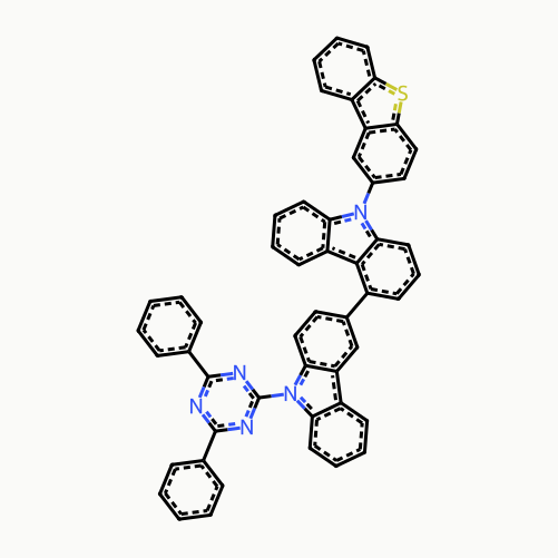 c1ccc(-c2nc(-c3ccccc3)nc(-n3c4ccccc4c4cc(-c5cccc6c5c5ccccc5n6-c5ccc6sc7ccccc7c6c5)ccc43)n2)cc1